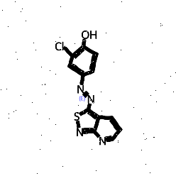 Oc1ccc(/N=N/c2snc3ncccc23)cc1Cl